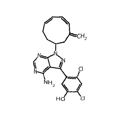 C=C1/C=C\C=C/CCC(n2nc(-c3cc(O)c(Cl)cc3Cl)c3c(N)ncnc32)C1